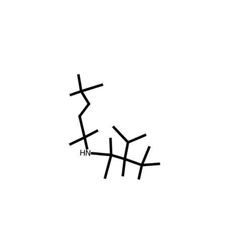 CC(C)C(C)(C(C)(C)C)C(C)(C)NC(C)(C)CCC(C)(C)C